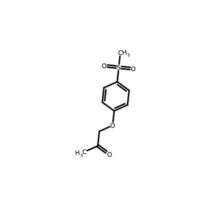 CC(=O)COc1ccc(S(C)(=O)=O)cc1